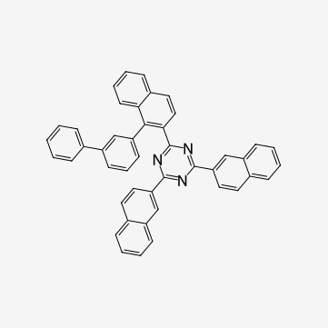 c1ccc(-c2cccc(-c3c(-c4nc(-c5ccc6ccccc6c5)nc(-c5ccc6ccccc6c5)n4)ccc4ccccc34)c2)cc1